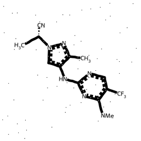 CNc1nc(Nc2cn([C@H](C)C#N)nc2C)ncc1C(F)(F)F